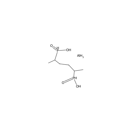 CC(CCC(C)[PH](=O)O)[PH](=O)O.[AlH3]